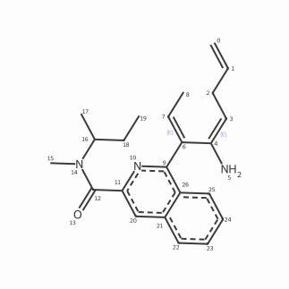 C=CC/C=C(N)\C(=C/C)c1nc(C(=O)N(C)C(C)CC)cc2ccccc12